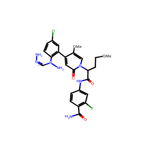 COCCC(C(=O)Nc1ccc(C(N)=O)c(F)c1)n1cc(OC)c(-c2cc(Cl)ccc2N(N)/C=N\N)cc1=O